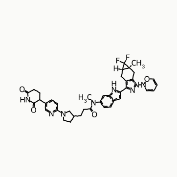 CN(C(=O)CCC1CCN(c2ccc(C3CCC(=O)NC3=O)cn2)C1)c1ccc2cc(-c3nn(N4C=CC=CO4)c4c3C[C@@H]3C(F)(F)[C@]3(C)C4)[nH]c2c1